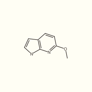 COc1ccc2c(n1)[N]C=C2